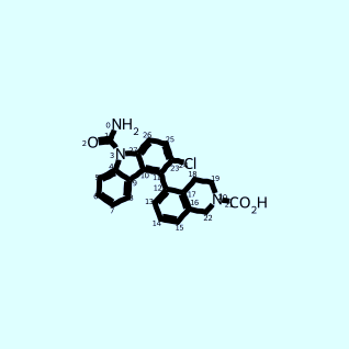 NC(=O)n1c2ccccc2c2c(-c3cccc4c3CCN(C(=O)O)C4)c(Cl)ccc21